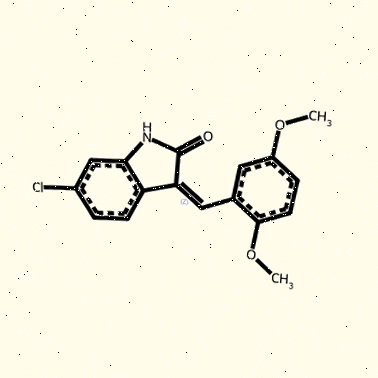 COc1ccc(OC)c(/C=C2\C(=O)Nc3cc(Cl)ccc32)c1